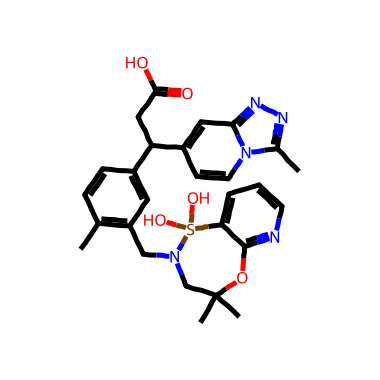 Cc1ccc(C(CC(=O)O)c2ccn3c(C)nnc3c2)cc1CN1CC(C)(C)Oc2ncccc2S1(O)O